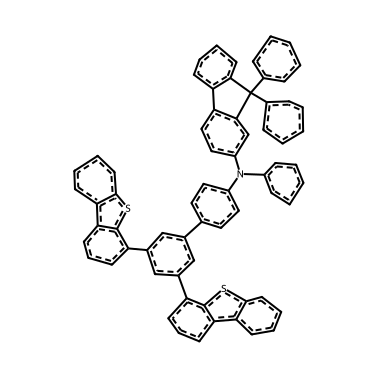 c1ccc(N(c2ccc(-c3cc(-c4cccc5c4sc4ccccc45)cc(-c4cccc5c4sc4ccccc45)c3)cc2)c2ccc3c(c2)C(c2ccccc2)(c2ccccc2)c2ccccc2-3)cc1